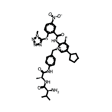 CC(C)[C@H](N)C(=O)N[C@@H](C)C(=O)Nc1ccc(C[n+]2cc(C3CCCC3)cc(F)c2NC(=O)c2cc([N+](=O)[O-])ccc2Sc2nnnn2C)cc1